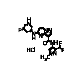 Cl.Cn1cc(NC(=O)c2cnn3ccc(N[C@H]4CNC[C@@H](F)C4)nc23)c(C(F)F)n1